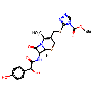 CCCCOC(=O)n1cnnc1SCC1=C(C(=O)O)N2C(=O)C(NC(=O)C(O)c3ccc(O)cc3)[C@@H]2SC1